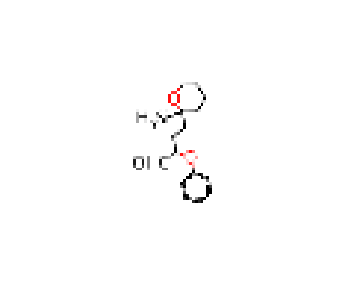 O=CC(CCC1([SiH3])CCCCO1)Oc1ccccc1